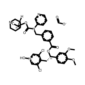 COc1ccc([C@H](Cc2c(Cl)c[n+](O)cc2Cl)OC(=O)c2cccc(CN(C(=O)O[C@H]3CN4CCC3CC4)c3cccnc3)c2)cc1OC.O=C[O-]